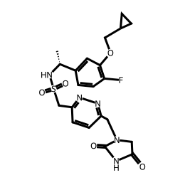 C[C@@H](NS(=O)(=O)Cc1ccc(CN2CC(=O)NC2=O)nn1)c1ccc(F)c(OCC2CC2)c1